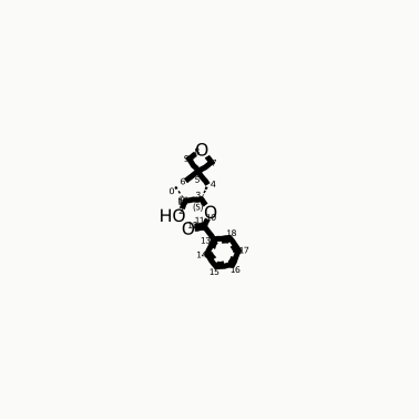 C[C@@H](O)[C@H](CC1(C)COC1)OC(=O)c1ccccc1